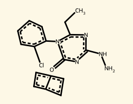 CCc1nc(NN)nc(=O)n1-c1ccccc1Cl.c1cc2ccc1-2